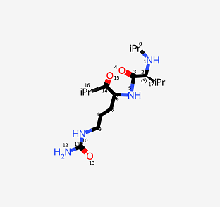 CC(C)N[C@H](C(=O)NC(CCCNC(N)=O)C(=O)C(C)C)C(C)C